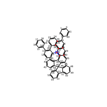 c1ccc(-c2ccc(N(c3cccc(-c4ccccc4)c3-c3ccccc3-c3ccccc3)c3cccc4c3-c3ccccc3C43c4ccccc4-c4ccccc43)cc2)cc1